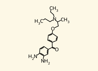 CCCN(CCC)C(C)COc1ccc(C(=O)c2ccc(N)c(N)c2)cc1